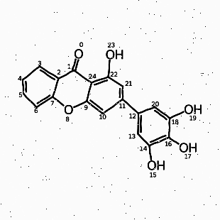 O=c1c2ccccc2oc2cc(-c3cc(O)c(O)c(O)c3)cc(O)c12